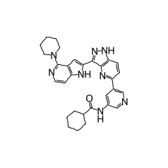 O=C(Nc1cncc(-c2ccc3[nH]nc(-c4cc5c(N6CCCCC6)nccc5[nH]4)c3n2)c1)C1CCCCC1